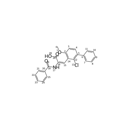 COc1ccc(-c2ccccc2)c(Cl)c1/C=C(/NC(=O)c1ccccc1)C(=O)O